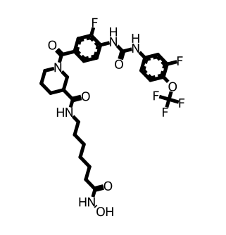 O=C(CCCCCCNC(=O)C1CCCN(C(=O)c2ccc(NC(=O)Nc3ccc(OC(F)(F)F)c(F)c3)c(F)c2)C1)NO